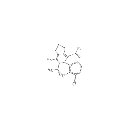 CC(=O)C1=C(C)N2CCCC2=C(C(C)=O)C1c1cccc(Cl)c1Cl